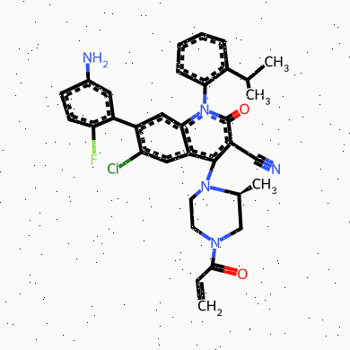 C=CC(=O)N1CCN(c2c(C#N)c(=O)n(-c3ccccc3C(C)C)c3cc(-c4cc(N)ccc4F)c(Cl)cc23)[C@@H](C)C1